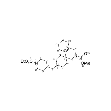 CCOC(=O)N1CCC(CN2CCC3(CC2)CN(C(=O)OC)CC2=C3CCCC2)CC1